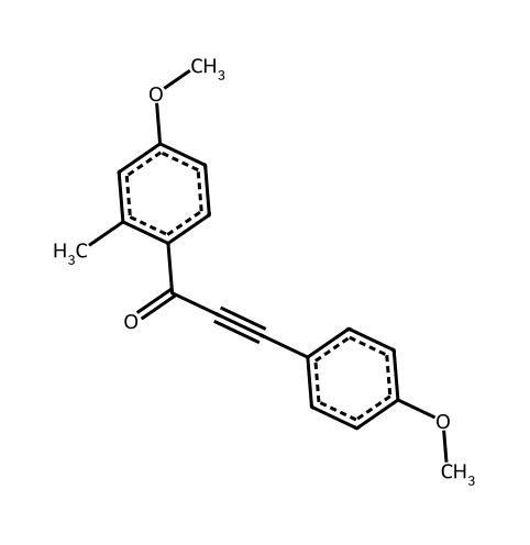 COc1ccc(C#CC(=O)c2ccc(OC)cc2C)cc1